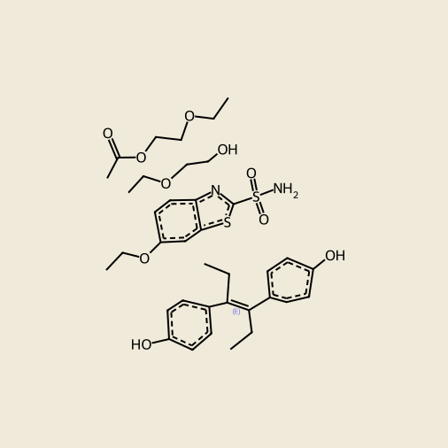 CC/C(=C(/CC)c1ccc(O)cc1)c1ccc(O)cc1.CCOCCO.CCOCCOC(C)=O.CCOc1ccc2nc(S(N)(=O)=O)sc2c1